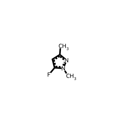 Cc1cc(F)n(C)n1